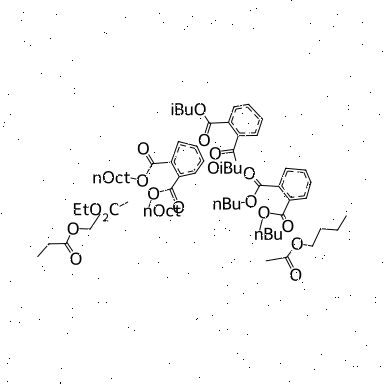 CC(C)COC(=O)c1ccccc1C(=O)OCC(C)C.CCCCCCCCOC(=O)c1ccccc1C(=O)OCCCCCCCC.CCCCOC(=O)c1ccccc1C(=O)OCCCC.CCCCOC(C)=O.CCOC(=O)CC.CCOC(C)=O